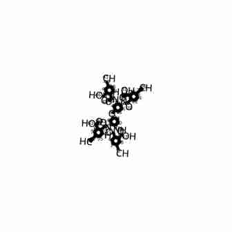 C#Cc1ccc(C(=O)Nc2ccc(Oc3ccc(NC(=O)c4ccc(C#C)cc4C(=O)O)c(NC(=O)c4ccc(C#C)cc4C(=O)O)c3)cc2NC(=O)c2ccc(C#C)cc2C(=O)O)c(C(=O)O)c1